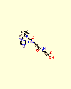 CN1CC[15N]([13CH2][13CH]2[13CH2][13CH2][13CH2][15N]2CC(=O)NCC[13CH2][13C](=O)NCC[13CH2][13C](=O)O)CC1